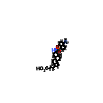 C[C@H](CCC(=O)O)C1CCC2C3CC[C@@H]4C[C@H](NS(=O)(=O)c5cccc6c(N(C)C)cccc56)CC[C@]4(C)C3CC[C@@]21C